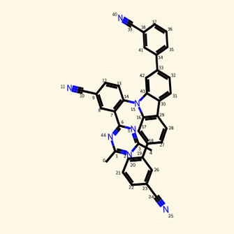 Cc1nc(C)nc(-c2cc(C#N)ccc2-n2c3cc(-c4cccc(C#N)c4)ccc3c3ccc(-c4cccc(C#N)c4)cc32)n1